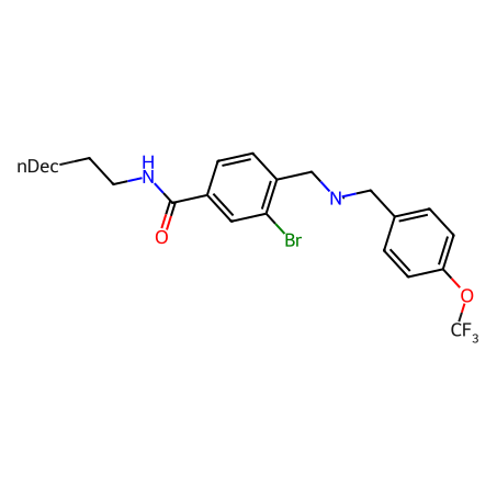 CCCCCCCCCCCCNC(=O)c1ccc(C[N]Cc2ccc(OC(F)(F)F)cc2)c(Br)c1